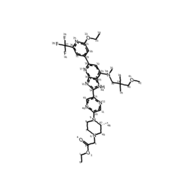 CCOC(=O)CN1CCN(c2cnc(-c3nc4nc(-c5cc(OCC)nc(C(F)(F)F)c5)cc(N(C)CC(C)(C)COC)c4[nH]3)cn2)[C@H](C)C1